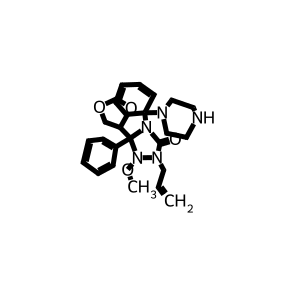 C=CCN1C(=O)N(C2(N3CCNCC3)C=CC=CC2)C(c2ccccc2)(C2COCO2)N1OC